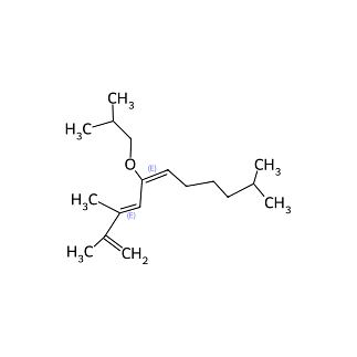 C=C(C)/C(C)=C/C(=C\CCCC(C)C)OCC(C)C